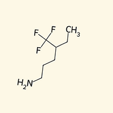 CCC(CCCN)C(F)(F)F